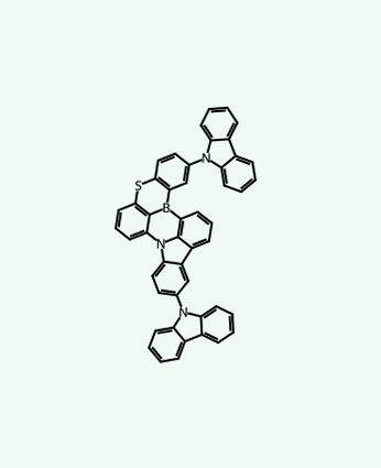 c1cc2c3c(c1)-n1c4ccc(-n5c6ccccc6c6ccccc65)cc4c4cccc(c41)B3c1cc(-n3c4ccccc4c4ccccc43)ccc1S2